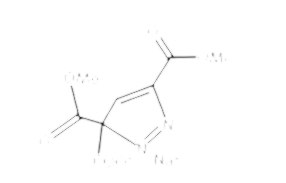 COC(=O)C1=CC(C(=O)[O-])(C(=O)OC)N=N1.[Na+]